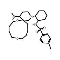 Cc1ccc(S(=O)(=O)N[C@@H]2CCCC[C@H]2N2CCC(N(C)C)C3(CCCCCCCCCC3)C2)cc1